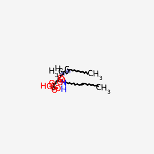 CCCCCCCCC#CCCCCCCCCNC(=O)OC(CCC(=O)C1=C(O)COC1=O)COC/C=C(\C)CC/C=C(\C)CCCCCCCCCCC